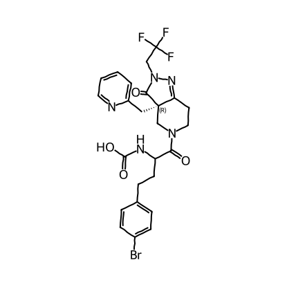 O=C(O)NC(CCc1ccc(Br)cc1)C(=O)N1CCC2=NN(CC(F)(F)F)C(=O)[C@]2(Cc2ccccn2)C1